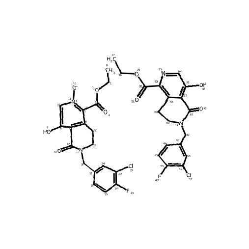 CCOC(=O)c1c2c(c(O)c[n+]1[O-])C(=O)N(Cc1ccc(F)c(Cl)c1)CC2.CCOC(=O)c1ncc(O)c2c1CCN(Cc1ccc(F)c(Cl)c1)C2=O